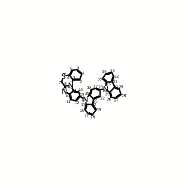 c1ccc2c(c1)SCc1nc3ccc(-n4c5ccccc5c5cc(-n6c7ccccc7c7ccccc76)ccc54)cc3n1-2